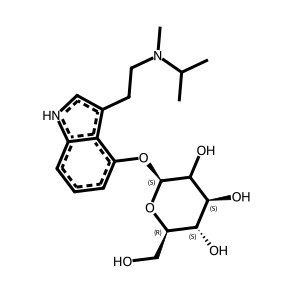 CC(C)N(C)CCc1c[nH]c2cccc(O[C@@H]3O[C@H](CO)[C@@H](O)[C@H](O)C3O)c12